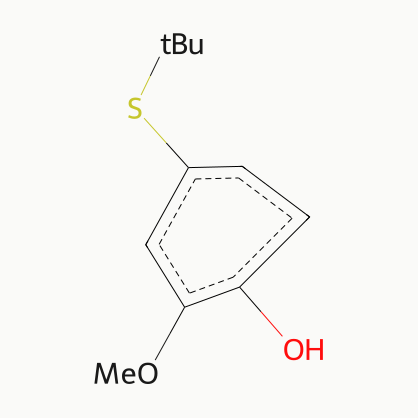 COc1cc(SC(C)(C)C)ccc1O